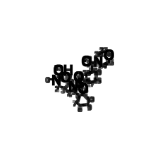 CN(Cc1cc(-c2ccccc2)n(S(=O)(=O)c2cccc(C(=O)N3CCOCC3)c2)c1)C(=O)O